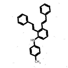 Cc1ccc(Nc2cccc(C=Cc3ccccc3)c2C=Cc2ccccc2)cc1